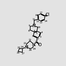 O=C(c1ccc2c(c1)CCN(Cc1ccc(Cl)cc1)C2)N1CCN(C2CCC2)CC1